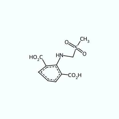 CS(=O)(=O)CNc1c(C(=O)O)cccc1C(=O)O